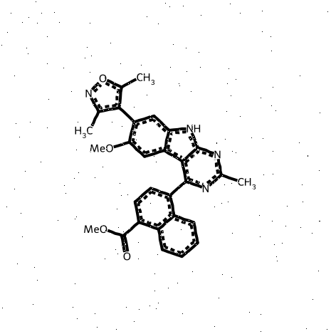 COC(=O)c1ccc(-c2nc(C)nc3[nH]c4cc(-c5c(C)noc5C)c(OC)cc4c23)c2ccccc12